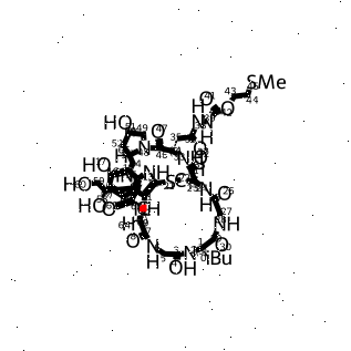 CCC(C)[C@@H]1NC(=O)CNC(=O)[C@@H]2Cc3c([nH]c4cc(O)ccc34)SC[C@@H](NC(=O)CNC1=O)C(=O)N[C@@H](CC(=O)NNC(=O)OCCSC)C(=O)N1C[C@H](O)C[C@H]1CN[C@@H]([C@@H](O)CO)C(=O)N2